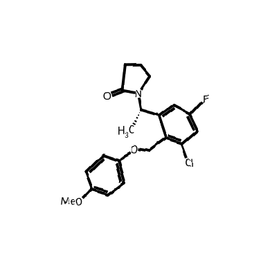 COc1ccc(OCc2c(Cl)cc(F)cc2[C@H](C)N2CCCC2=O)cc1